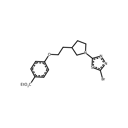 CCOC(=O)c1ccc(OCCC2CCN(c3nnc(Br)s3)C2)cc1